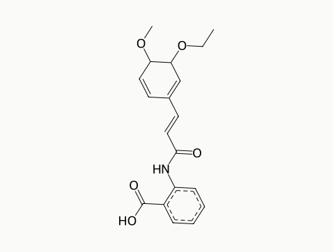 CCOC1C=C(/C=C/C(=O)Nc2ccccc2C(=O)O)C=CC1OC